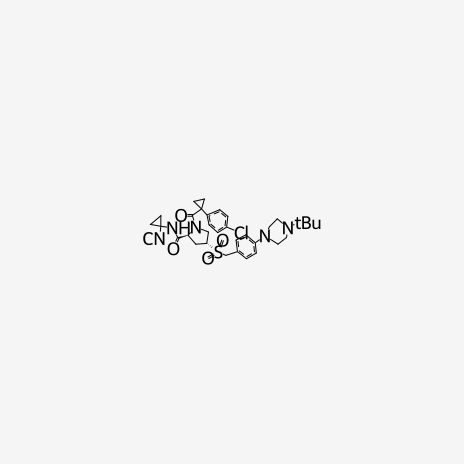 CC(C)(C)N1CCN(c2ccc(CS(=O)(=O)[C@@H]3C[C@@H](C(=O)NC4(C#N)CC4)N(C(=O)C4(c5ccc(Cl)cc5)CC4)C3)cc2)CC1